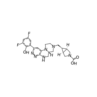 O=C(O)N1C[C@@H]2[C@H](CN3CCN4c5cc(-c6cc(F)cc(F)c6O)nnc5NC[C@H]4C3)[C@@H]2C1